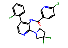 O=C(Nc1c(-c2ccccc2F)ccnc1N1CCC(F)(F)C1)c1ccc(Cl)nc1